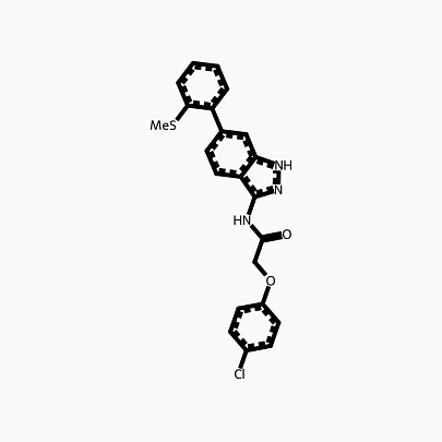 CSc1ccccc1-c1ccc2c(NC(=O)COc3ccc(Cl)cc3)n[nH]c2c1